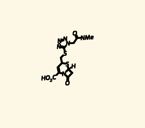 CNC(=O)Cn1nnnc1SCC1C=C(C(=O)O)N2C(=O)C[C@H]2S1